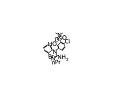 CCCN=C(N)N(c1ccccc1Br)c1ccc(Cl)c(S(=O)(=O)N(C)C)c1O